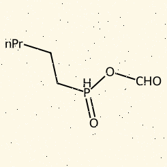 CCCCC[PH](=O)OC=O